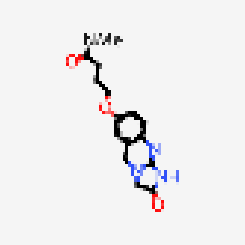 CNC(=O)CCCOc1ccc2c(c1)CN1CC(=O)NC1=N2